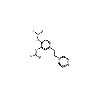 FC(F)Oc1ccc(CCc2ccncc2)cc1OC(F)F